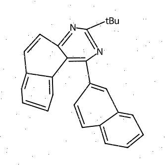 CC(C)(C)c1nc(-c2ccc3ccccc3c2)c2c(ccc3ccccc32)n1